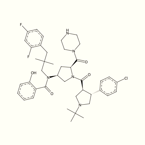 CC(C)(Cc1ccc(F)cc1F)CN(C(=O)c1ccccc1O)[C@H]1C[C@@H](C(=O)N2CCNCC2)N(C(=O)[C@@H]2CN(C(C)(C)C)C[C@H]2c2ccc(Cl)cc2)C1